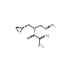 C=CCN(CC1CO1)C(=O)C(=C)C